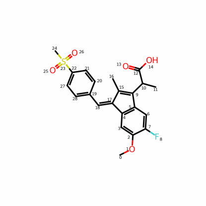 COc1cc2c(cc1F)C(C(C)C(=O)O)=C(C)C2=Cc1ccc(S(C)(=O)=O)cc1